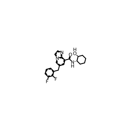 O=C(N[C@H]1CCCC[C@@H]1O)c1cc(Cc2cccc(F)c2F)cn2ccnc12